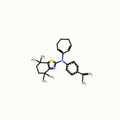 C=C(C)c1ccc(N(C2=CCCCC=C2)c2nc3c(s2)C(C)(C)CCC3(C)C)cc1